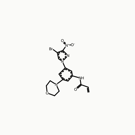 C=CC(=O)Nc1cc(N2CCOCC2)cc(-n2cc(Br)c([N+](=O)[O-])n2)c1